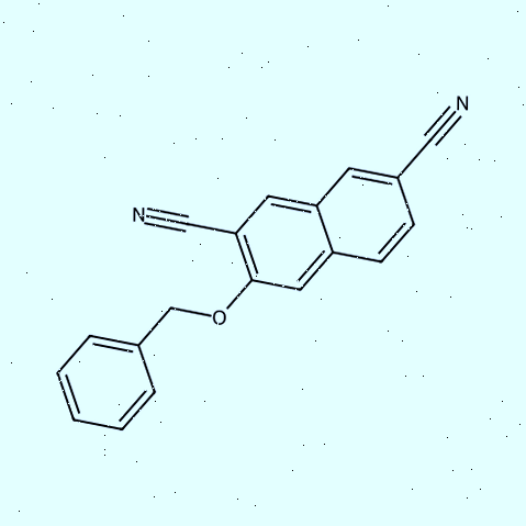 N#Cc1ccc2cc(OCc3ccccc3)c(C#N)cc2c1